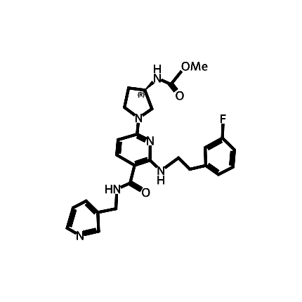 COC(=O)N[C@@H]1CCN(c2ccc(C(=O)NCc3cccnc3)c(NCCc3cccc(F)c3)n2)C1